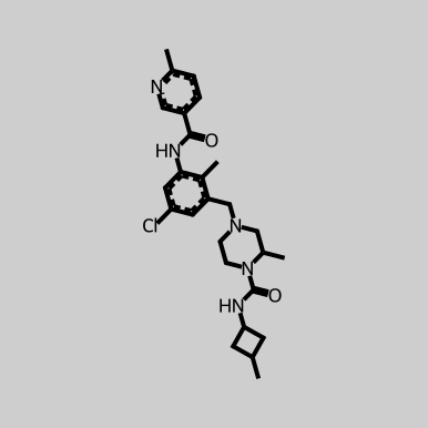 Cc1ccc(C(=O)Nc2cc(Cl)cc(CN3CCN(C(=O)NC4CC(C)C4)C(C)C3)c2C)cn1